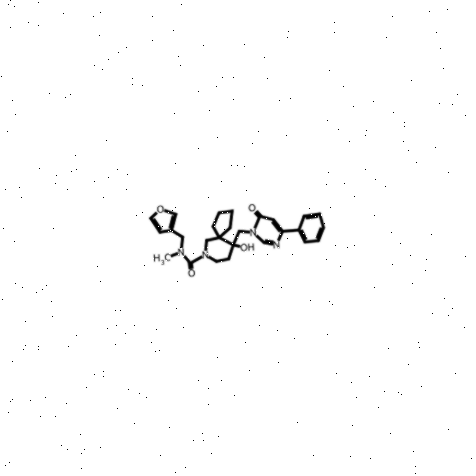 CN(Cc1ccoc1)C(=O)N1CCC(O)(Cn2cnc(-c3ccccc3)cc2=O)C2(CCCC2)C1